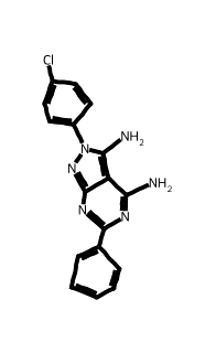 Nc1nc(-c2ccccc2)nc2nn(-c3ccc(Cl)cc3)c(N)c12